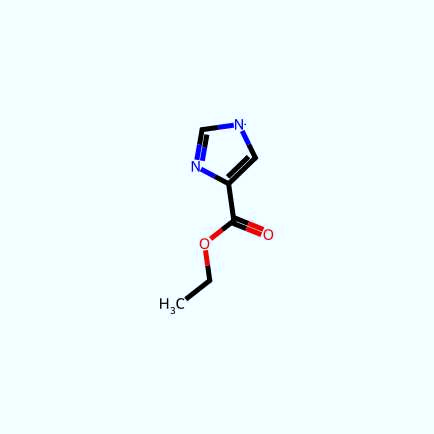 CCOC(=O)C1=C[N]C=N1